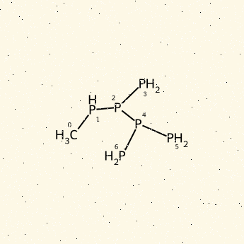 CPP(P)P(P)P